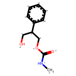 CNC(=O)OCC(CO)c1ccccc1